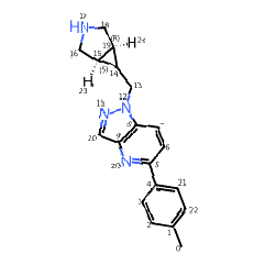 Cc1ccc(-c2ccc3c(cnn3CC3[C@H]4CNC[C@@H]34)n2)cc1